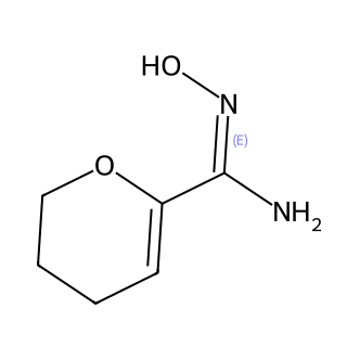 N/C(=N/O)C1=CCCCO1